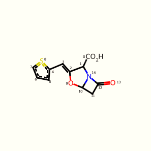 O=C(O)C1C(=Cc2cccs2)OC2CC(=O)N21